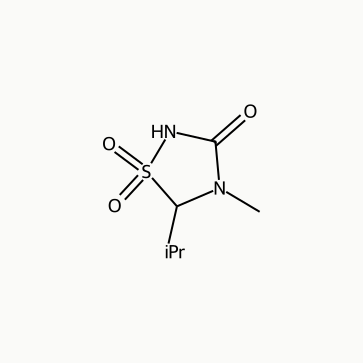 CC(C)C1N(C)C(=O)NS1(=O)=O